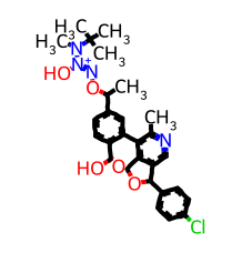 Cc1ncc2c(c1-c1cc(C(C)O/N=[N+](\O)N(C)C(C)(C)C)ccc1C(=O)O)COC2c1ccc(Cl)cc1